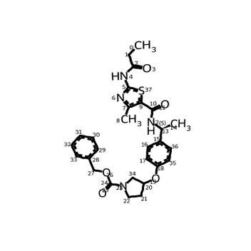 CCC(=O)Nc1nc(C)c(C(=O)N[C@@H](C)c2ccc(OC3CCN(C(=O)OCc4ccccc4)C3)cc2)s1